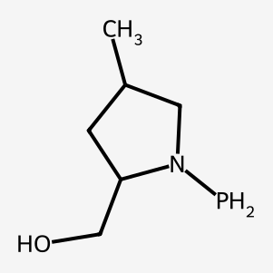 CC1CC(CO)N(P)C1